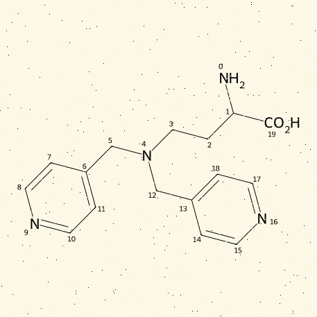 NC(CCN(Cc1ccncc1)Cc1ccncc1)C(=O)O